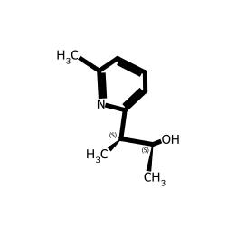 Cc1cccc([C@H](C)[C@H](C)O)n1